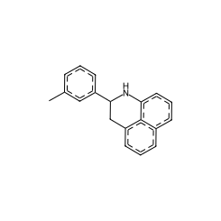 Cc1cccc(C2Cc3cccc4cccc(c34)N2)c1